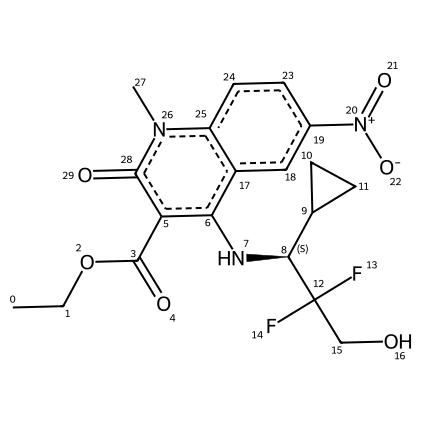 CCOC(=O)c1c(N[C@@H](C2CC2)C(F)(F)CO)c2cc([N+](=O)[O-])ccc2n(C)c1=O